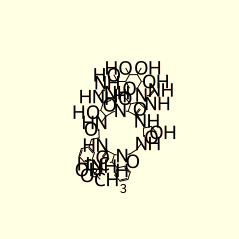 CC(=O)Nc1cc(CC2NC(=O)C(C(C)c3ccccc3)NC(=O)CNC(=O)C(CO)NC(=O)C(C(O)C3CNC(=N)N3C3OC(CO)C(O)C(O)C3O)NC(=O)C(C(O)C3CNC(=N)N3)NC2=O)ccc1O